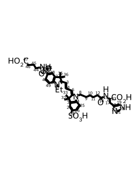 CC[N+]1=C(/C=C/C=C2/N(CCCCCC(=O)N[C@H](Cc3c[nH]cn3)C(=O)O)c3ccc(S(=O)(=O)O)cc3C2(C)C)C(C)(C)c2cc(S(=O)(=O)NCCCC(=O)O)ccc21